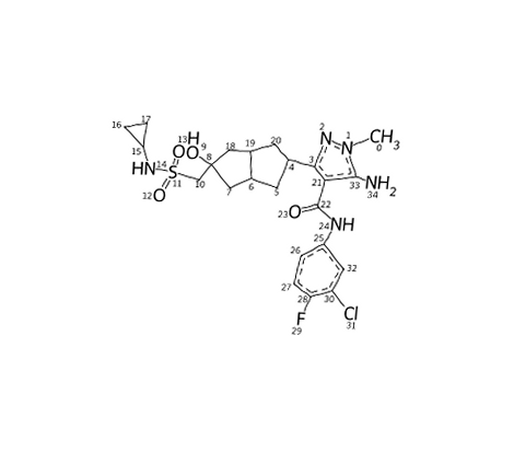 Cn1nc(C2CC3CC(O)(CS(=O)(=O)NC4CC4)CC3C2)c(C(=O)Nc2ccc(F)c(Cl)c2)c1N